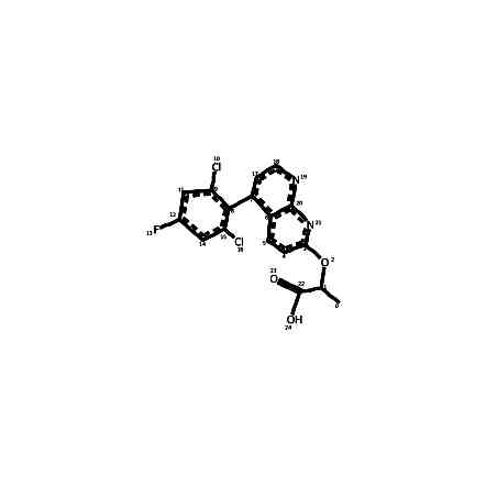 CC(Oc1ccc2c(-c3c(Cl)cc(F)cc3Cl)ccnc2n1)C(=O)O